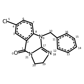 O=C1c2cc(Cl)ccc2N(Cc2ccccc2)C2=NCCN12